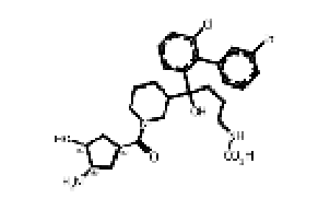 CCc1cccc(-c2c(Cl)cccc2C(O)(CCCNC(=O)O)C2CCCN(C(=O)[C@H]3C[C@@H](N)[C@@H](O)C3)C2)c1